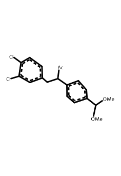 COC(OC)c1ccc(C(Cc2ccc(Cl)c(Cl)c2)C(C)=O)cc1